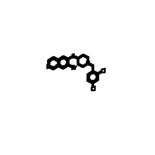 Clc1ccc(CN2CCC(Sc3cc4ccncc4cc3Br)CC2)c(Cl)c1